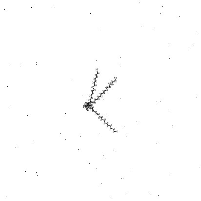 CCCCCCCCCCCCCCCCCCC(CCCCCCCCCCCCCCCCC)(CCCCCCCCCCCCCCCCCC)P(=O)(O)O